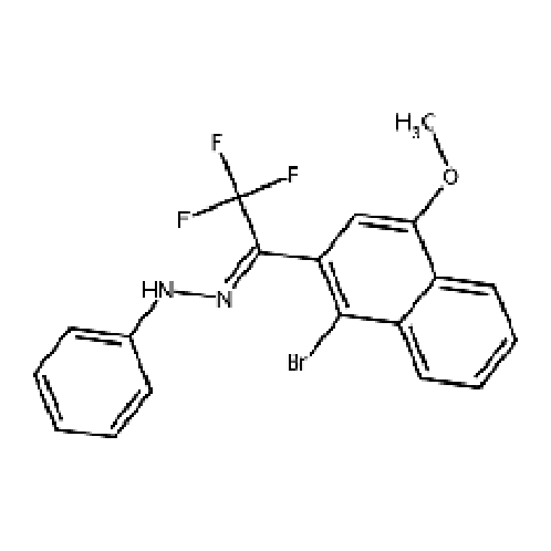 COc1cc(C(=NNc2ccccc2)C(F)(F)F)c(Br)c2ccccc12